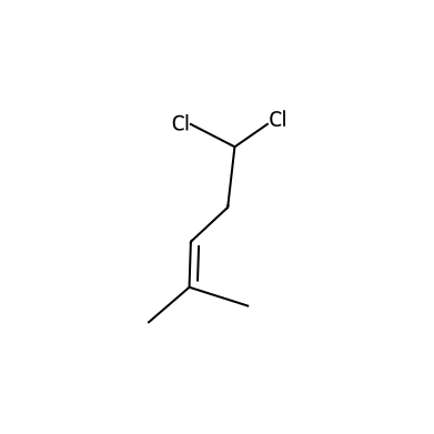 CC(C)=CCC(Cl)Cl